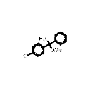 COC(C)(c1ccccc1)c1ccc(Cl)cc1